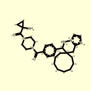 NC1(C(=O)N2CCN(C(=O)c3ccc(C4Nn5ccnc5CC45CCCCCCCC5)cc3)CC2)CC1